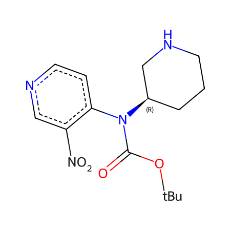 CC(C)(C)OC(=O)N(c1ccncc1[N+](=O)[O-])[C@@H]1CCCNC1